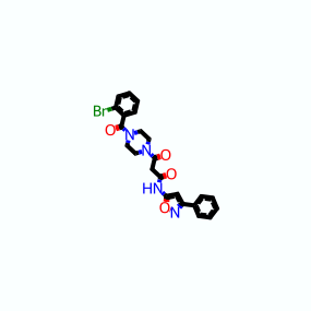 O=C(CC(=O)N1CCN(C(=O)c2ccccc2Br)CC1)Nc1cc(-c2ccccc2)no1